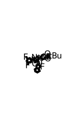 CC(C)(C)S(=O)(=O)N1CCN(c2cnn(-c3cc(F)cc(F)c3)c(=O)c2OC2Cc3ccccc3C2F)CC1